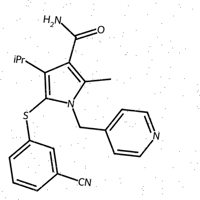 Cc1c(C(N)=O)c(C(C)C)c(Sc2cccc(C#N)c2)n1Cc1ccncc1